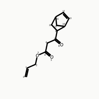 C=CCOC(=O)CC(=O)C1CC2C=CC1C2